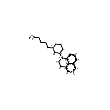 NCCCCN1CCCC(N2CCc3cncc4cccc2c34)C1